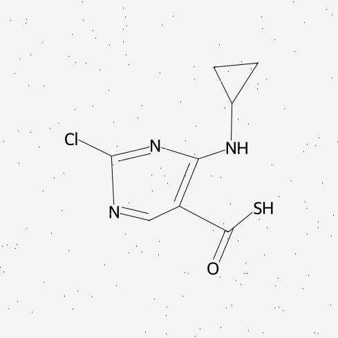 O=C(S)c1cnc(Cl)nc1NC1CC1